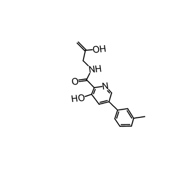 C=C(O)CNC(=O)c1ncc(-c2cccc(C)c2)cc1O